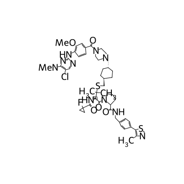 CNc1nc(Nc2ccc(C(=O)N3CCN(C[C@H]4CC[C@H](CSC(C)(C)[C@H](NC(=O)C5(F)CC5)C(=O)N5CCCC5C(=O)NCc5ccc(-c6scnc6C)cc5)CC4)CC3)cc2OC)ncc1Cl